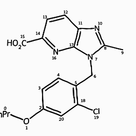 CCCOc1ccc(Cn2c(C)nc3ccc(C(=O)O)nc32)c(Cl)c1